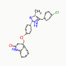 Cc1nc(-c2ccc(OCc3cc(=O)[nH]c4ccccc34)cc2)[nH]c1-c1ccc(Cl)cc1